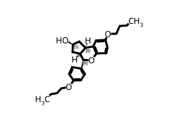 CCCCOc1ccc([C@@H]2Oc3ccc(OCCCC)cc3[C@@H]3C[C@H](O)C[C@@H]32)cc1